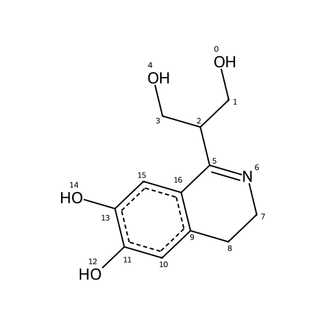 OCC(CO)C1=NCCc2cc(O)c(O)cc21